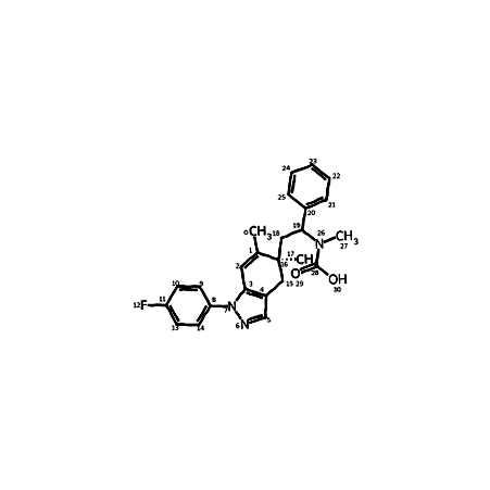 CC1=Cc2c(cnn2-c2ccc(F)cc2)C[C@]1(C)CC(c1ccccc1)N(C)C(=O)O